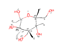 CC1(O)O[C@](C)(CO)C(C)(O)[C@](C)(O)[C@@]1(C)O